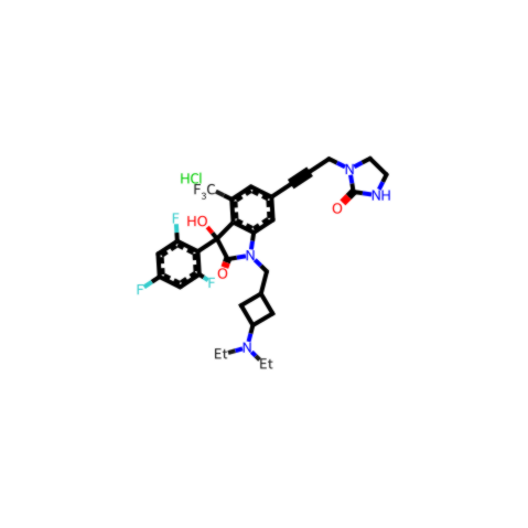 CCN(CC)C1CC(CN2C(=O)C(O)(c3c(F)cc(F)cc3F)c3c2cc(C#CCN2CCNC2=O)cc3C(F)(F)F)C1.Cl